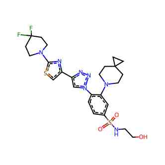 O=S(=O)(NCCO)c1ccc(-n2cc(-c3csc(N4CCC(F)(F)CC4)n3)nn2)c(N2CCC3(CC2)CC3)c1